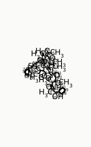 CC[C@H](C)[C@@H]([C@@H](CC(=O)N1CCC[C@H]1[C@H](OC)[C@@H](C)C(=O)N[C@H](C)[C@@H](O)c1ccccc1)OC)N(C)C(=O)[C@@H](NC(=O)[C@H](C(C)C)N(C)C(=O)OCCSSc1ccccn1)C(C)C